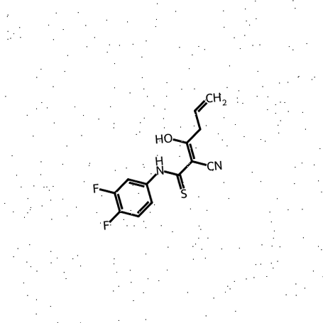 C=CCC(O)=C(C#N)C(=S)Nc1ccc(F)c(F)c1